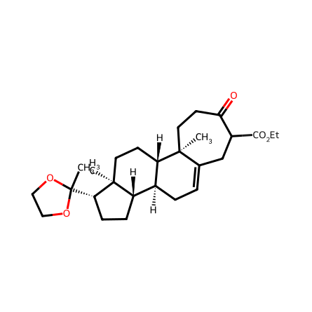 CCOC(=O)C1CC2=CC[C@H]3[C@@H]4CC[C@H](C5(C)OCCO5)[C@@]4(C)CC[C@@H]3[C@@]2(C)CCC1=O